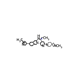 C/C=C(/Nc1cc2cc(-c3cnn(C)c3)ccc2cn1)c1ccnc(N2CCC3(CC2)CN(C)C3)c1